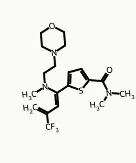 C=C(/C=C(/c1ccc(C(=O)N(C)C)s1)N(C)CCN1CCOCC1)C(F)(F)F